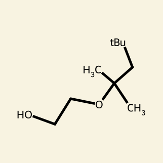 CC(C)(C)CC(C)(C)OCCO